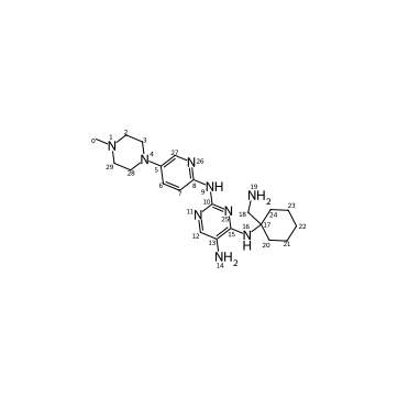 CN1CCN(c2ccc(Nc3ncc(N)c(NC4(CN)CCCCC4)n3)nc2)CC1